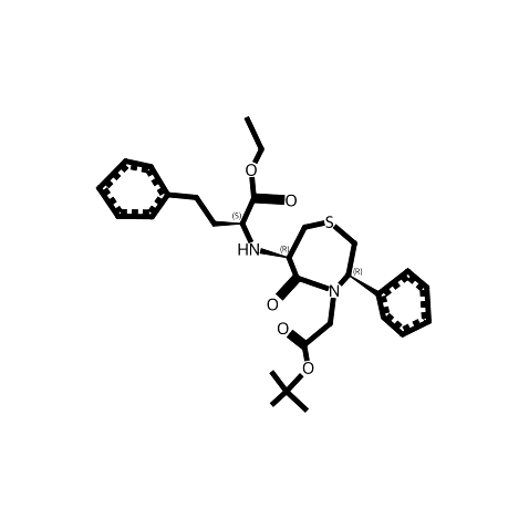 CCOC(=O)[C@H](CCc1ccccc1)N[C@H]1CSC[C@@H](c2ccccc2)N(CC(=O)OC(C)(C)C)C1=O